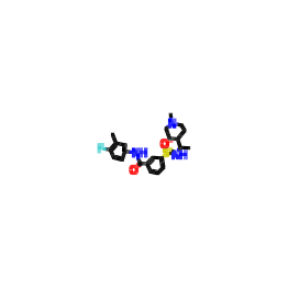 Cc1cc(NC(=O)c2cccc([S+]([O-])NC(C)C3CCN(C)CC3)c2)ccc1F